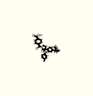 Cc1ccc(S(=O)(=O)C2(c3ccc(C(F)(C(F)(F)F)C(F)(F)F)cc3)CCN(C(=O)C3CCC(C(=O)O)CC3)C2)cc1